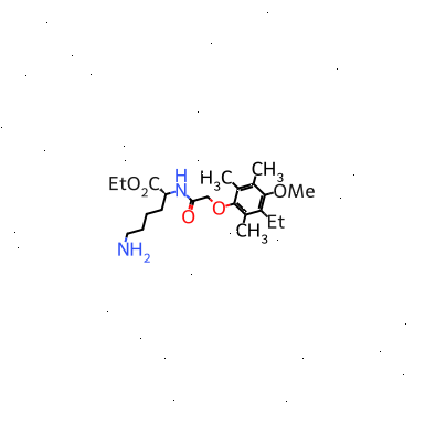 CCOC(=O)[C@H](CCCCN)NC(=O)COc1c(C)c(C)c(OC)c(CC)c1C